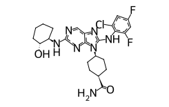 NC(=O)[C@H]1CC[C@@H](n2c(Nc3c(F)cc(F)cc3Cl)nc3cnc(N[C@@H]4CCCC[C@H]4O)nc32)CC1